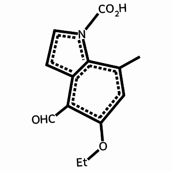 CCOc1cc(C)c2c(ccn2C(=O)O)c1C=O